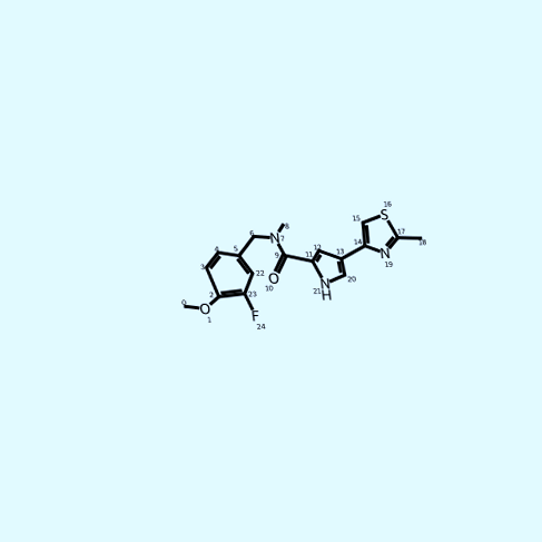 COc1ccc(CN(C)C(=O)c2cc(-c3csc(C)n3)c[nH]2)cc1F